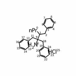 CCCC(Cc1ccccc1)C(N)(Cc1ccccc1)Cc1ccccc1.Cl